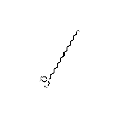 CCCCCCCCC=CCCCCCCCC[N+](CC)(CC)CC